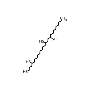 CCCCCCCCCC(S)CCC(S)CCCCCCCCCC(S)CCCS